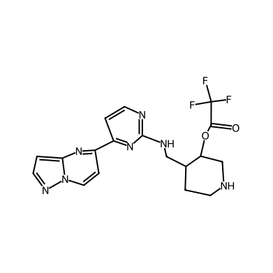 O=C(OC1CNCCC1CNc1nccc(-c2ccn3nccc3n2)n1)C(F)(F)F